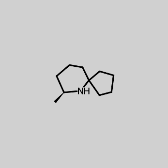 C[C@H]1CCCC2(CCCC2)N1